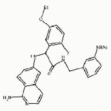 CCOc1ccc(F)c(C(Nc2ccc3c(N)nccc3c2)C(=O)NCc2cccc(NC(C)=O)c2)c1